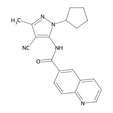 Cc1nn(C2CCCC2)c(NC(=O)c2ccc3ncccc3c2)c1C#N